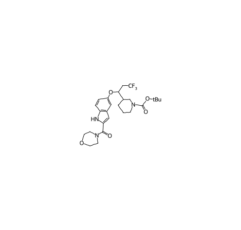 CC(C)(C)OC(=O)N1CCCC(C(CC(F)(F)F)Oc2ccc3[nH]c(C(=O)N4CCOCC4)cc3c2)C1